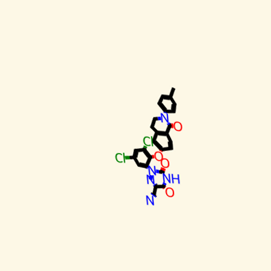 Cc1ccc(N2CCc3cc(Oc4c(Cl)cc(Cl)cc4-n4nc(C#N)c(=O)[nH]c4=O)ccc3C2=O)cc1